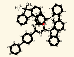 CC1(C)c2ccccc2-c2c(-c3nc(-c4ccc(-c5ccccc5)cc4)nc(-n4c5ccccc5c5ccc6c7ccccc7n(-c7ccccc7)c6c54)n3)cccc21